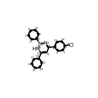 Clc1ccc(C2=NN(c3ccccc3)NC(c3ccccc3)=C2)cc1